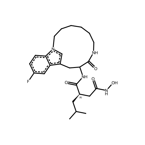 CC(C)C[C@H](CC(=O)NO)C(=O)NC1Cc2cn(c3ccc(F)cc23)CCCCCCNC1=O